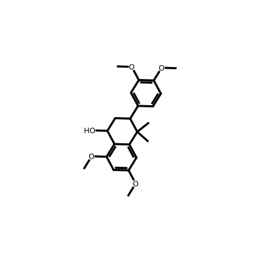 COc1cc(OC)c2c(c1)C(C)(C)C(c1ccc(OC)c(OC)c1)CC2O